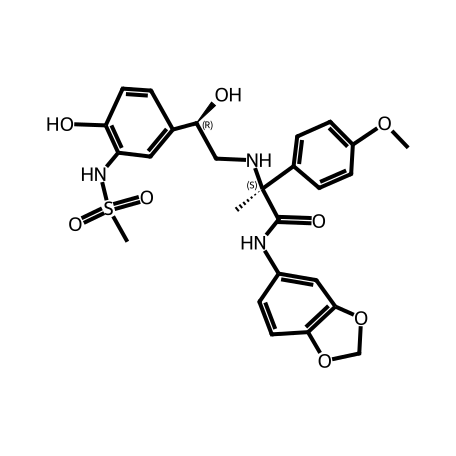 COc1ccc([C@](C)(NC[C@H](O)c2ccc(O)c(NS(C)(=O)=O)c2)C(=O)Nc2ccc3c(c2)OCO3)cc1